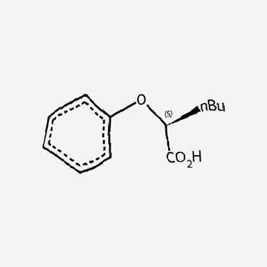 CCCC[C@H](Oc1ccccc1)C(=O)O